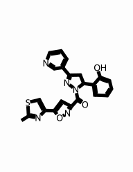 Cc1nc(-c2cc(C(=O)N3N=C(c4cccnc4)CC3c3ccccc3O)no2)cs1